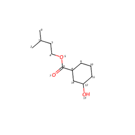 CC(C)CCOC(=O)C1CCCC(O)C1